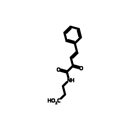 O=C(O)CCNC(=O)C(=O)/C=C/c1ccccc1